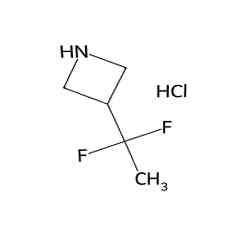 CC(F)(F)C1CNC1.Cl